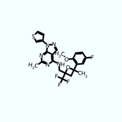 COc1ccc(F)cc1C1(C)CC(CNc2nc(C)nc3c2cnn3-c2ccsc2)(C(F)(F)F)O1